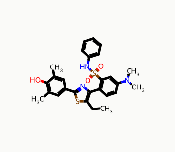 CCc1sc(-c2cc(C)c(O)c(C)c2)nc1-c1ccc(N(C)C)cc1S(=O)(=O)Nc1ccccc1